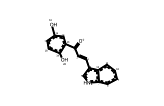 O=C(/C=C/c1c[nH]c2ccccc12)c1cc(O)ccc1O